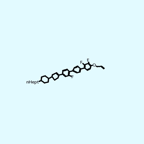 C=CCOc1ccc(-c2ccc(-c3ccc(C4=CCC(C5CCC(CCCCCCC)CC5)CC4)cc3F)cc2)c(F)c1F